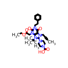 CC#CCN1c2c(n(CC(=O)OCC)c(=O)n(CCc3ccccc3)c2=O)N(C(C)(C)C)C1N1CCN(C(=O)O)CC1